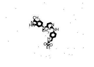 CCS(=O)(=O)NCc1ccc(Nc2nccc(N(C)c3ccc4c(C)n[nH]c4c3)n2)cc1